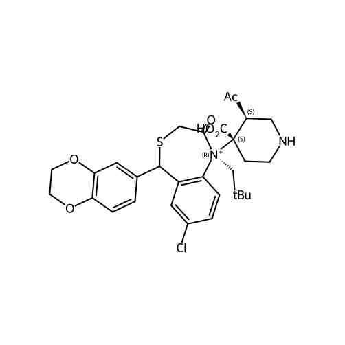 CC(=O)[C@H]1CNCC[C@]1(C(=O)O)[N@+]1(CC(C)(C)C)C(=O)CSC(c2ccc3c(c2)OCCO3)c2cc(Cl)ccc21